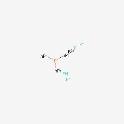 CCCP(CCC)CCC.F.[B+3].[F-].[F-].[F-]